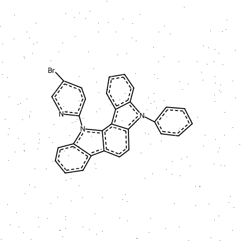 Brc1ccc(-n2c3ccccc3c3ccc4c(c5ccccc5n4-c4ccccc4)c32)nc1